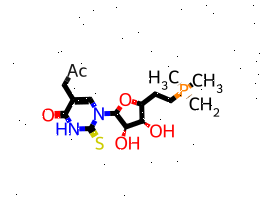 C=P(C)(C)CCC1OC(n2cc(CC(C)=O)c(=O)[nH]c2=S)[C@H](O)[C@@H]1O